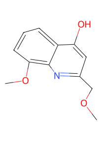 COCc1cc(O)c2cccc(OC)c2n1